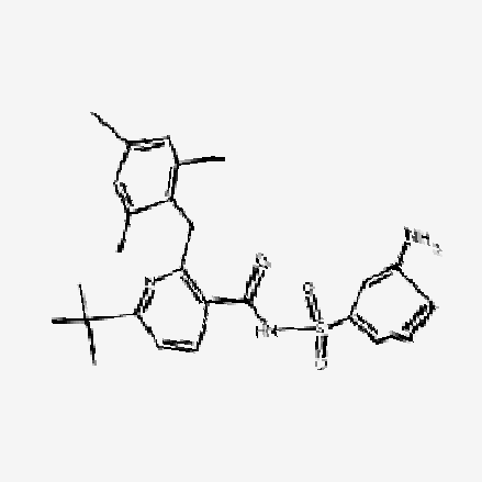 Cc1cc(C)c(Cc2nc(C(C)(C)C)ccc2C(=O)NS(=O)(=O)c2cccc(N)c2)c(C)c1